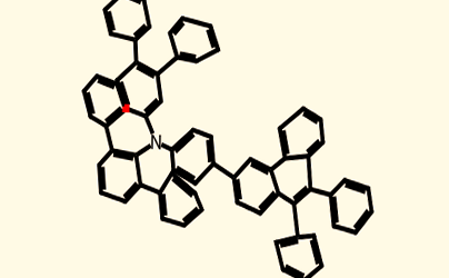 c1ccc(-c2ccc(N(c3ccc(-c4ccc5c(-c6ccccc6)c(-c6ccccc6)c6ccccc6c5c4)cc3)c3c(-c4ccccc4)cccc3-c3ccccc3)cc2-c2ccccc2)cc1